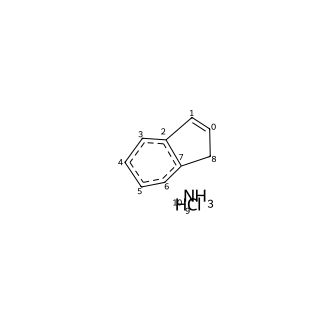 C1=Cc2ccccc2C1.Cl.N